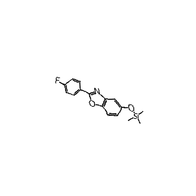 C[Si](C)(C)Oc1ccc2oc(-c3ccc(F)cc3)nc2c1